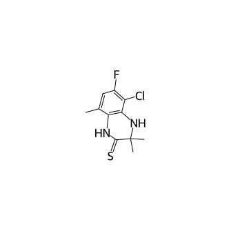 Cc1cc(F)c(Cl)c2c1NC(=S)C(C)(C)N2